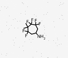 CC1(C)C(F)(F)CC(N)CC(F)(F)C1(F)F